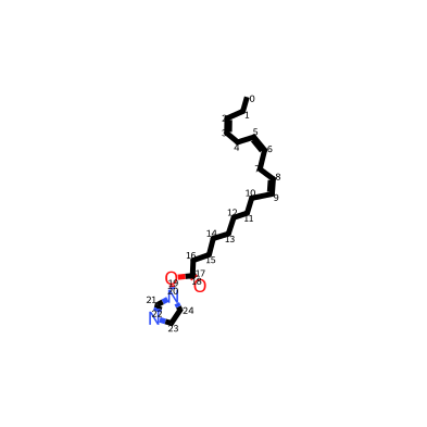 CC/C=C\C/C=C\C/C=C\CCCCCCCC(=O)ON1C=NCC1